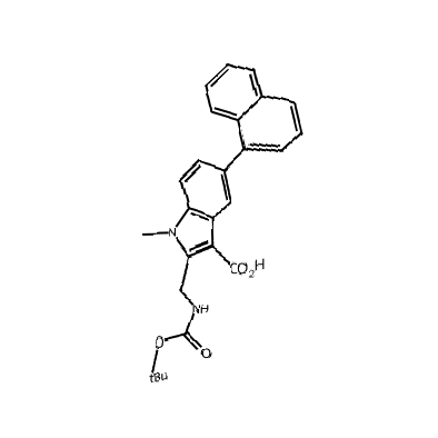 Cn1c(CNC(=O)OC(C)(C)C)c(C(=O)O)c2cc(-c3cccc4ccccc34)ccc21